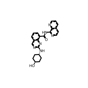 O=C(Nc1nccc2cccnc12)c1cccc2cnc(N[C@H]3CC[C@H](O)CC3)nc12